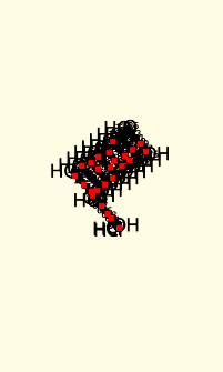 Cl.Cl.O=C(O)CCCCCCCCC(=O)O.O=C(O)CCCCCCCCC(=O)O.O=C(O)CCCCCCCCC(=O)O.O=C(O)CCCCCCCCC(=O)O.O=C(O)CCCCCCCCC(=O)O.O=C(O)CCCCCCCCC(=O)O.O=C(O)CCCCCCCCC(=O)O.O=C(O)CCCCCCCCC(=O)O.O=C(O)CCCCCCCCC(=O)O